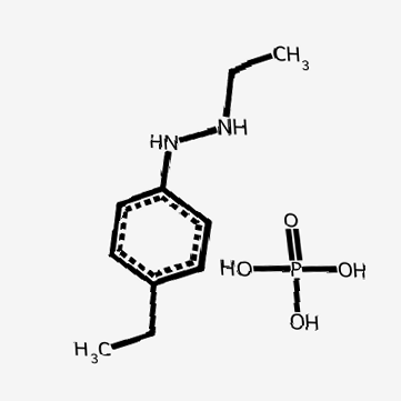 CCNNc1ccc(CC)cc1.O=P(O)(O)O